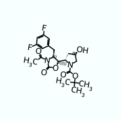 CC(=O)N1C(=O)O[C@H]([C@@H]2C[C@@H](O)CN2C(=O)OC(C)(C)C)[C@@H]1Cc1cc(F)cc(F)c1